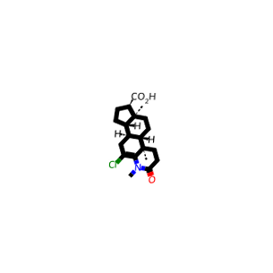 CN1C(=O)CC[C@@]2(C)C1=C(Cl)C[C@H]1[C@@H]3CC[C@H](C(=O)O)[C@@]3(C)CC[C@@H]12